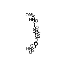 Cc1c(C)c2c(c(C)c1OC(=O)CCCC(=O)NCC(C)(C)SN=O)CCC(C)(COc1ccc(CC3SC(=O)NC3=O)cc1)O2